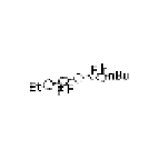 CCCCC1CCC(/C=C/C2CCC(c3ccc(C4CCC(CC)CC4)c(F)c3F)CC2)C(F)=C1F